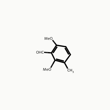 COc1ccc(C)c(OC)c1C=O